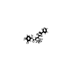 CN1[C@@H](C(=O)Nc2ccc(F)c(Cl)c2)C[C@@H](c2ncc(-c3cccnc3)s2)NS1(=O)=O